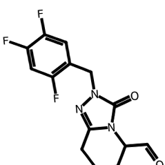 O=CC1CCCc2nn(Cc3cc(F)c(F)cc3F)c(=O)n21